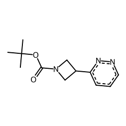 CC(C)(C)OC(=O)N1CC(c2cccnn2)C1